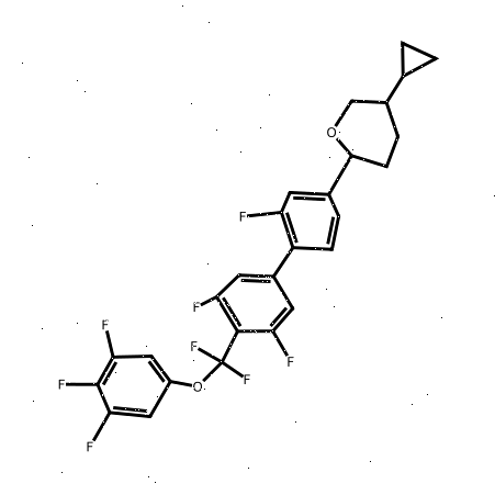 Fc1cc(C2CCC(C3CC3)CO2)ccc1-c1cc(F)c(C(F)(F)Oc2cc(F)c(F)c(F)c2)c(F)c1